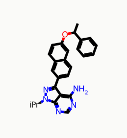 CC(Oc1ccc2cc(-c3nn(C(C)C)c4ncnc(N)c34)ccc2c1)c1ccccc1